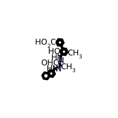 CC(=N/Nc1ccc2c(c1)CCCC2)/C(C=O)=N/Nc1cc(C)cc(-c2cccc(C(=O)O)c2)c1O